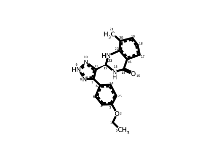 CCOc1ccc(-c2n[nH]nc2[C@@H]2NC(=O)c3cccc(C)c3N2)cc1